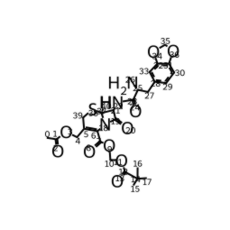 CC(=O)OCC1=C(C(=O)OCOC(=O)C(C)(C)C)N2C(=O)[C@@H](NC(=O)C(N)Cc3ccc4c(c3)OCO4)[C@H]2SC1